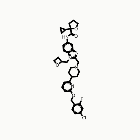 O=C(Nc1ccc2c(c1)nc(CN1CCC(c3cccc(OCc4ccc(Cl)cc4F)n3)CC1)n2CC1CCO1)C1(C2CC2)CCCO1